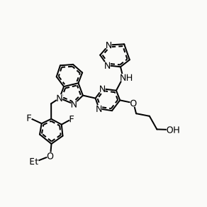 CCOc1cc(F)c(Cn2nc(-c3ncc(OCCCO)c(Nc4ccncn4)n3)c3ccccc32)c(F)c1